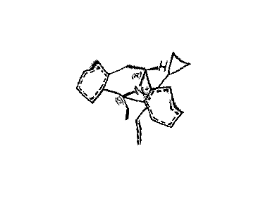 C=CC[N@@+]1(CC2CC2)[C@@H]2Cc3ccccc3[C@@]1(C)c1ccccc12